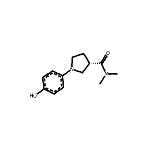 CN(C)C(=O)[C@H]1CCN(c2ccc(O)cc2)C1